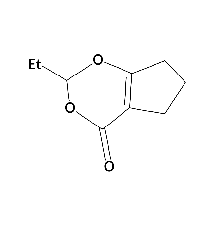 CCC1OC(=O)C2=C(CCC2)O1